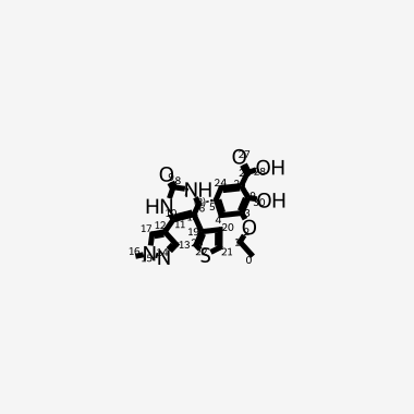 CCOc1cc([C@H]2NC(=O)NC(c3cnn(C)c3)=C2c2ccsc2)cc(C(=O)O)c1O